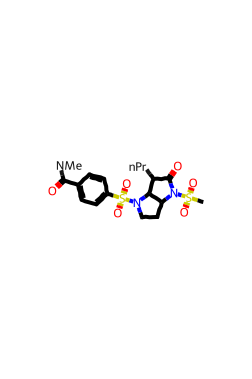 CCCC1C(=O)N(S(C)(=O)=O)C2CCN(S(=O)(=O)c3ccc(C(=O)NC)cc3)C12